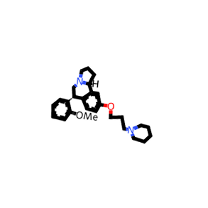 COc1ccccc1[C@@H]1CN2CCC[C@@H]2c2cc(OCCCN3CCCCC3)ccc21